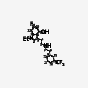 CCn1cc(CCNCCc2cccc(C(F)(F)F)c2)c2c(O)cc(F)cc21